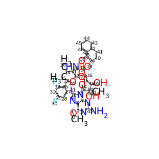 COc1nc(N)nc2c1nc(I)n2[C@@H]1OC(COP(=O)(N[C@H](C(=O)OCc2ccc(F)cc2F)C(C)C)Oc2cccc3ccccc23)[C@@H](O)[C@@]1(C)O